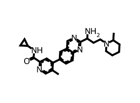 Cc1cnc(C(=O)NC2CC2)cc1-c1ccc2nc(C(N)CCN3CCCCC3C)ncc2c1